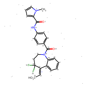 Cn1cccc1C(=O)Nc1ccc(C(=O)N2CCC(F)(F)/C(=C\C(=O)O)c3ccccc32)cc1